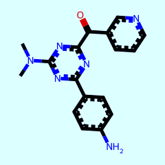 CN(C)c1nc(C(=O)c2cccnc2)nc(-c2ccc(N)cc2)n1